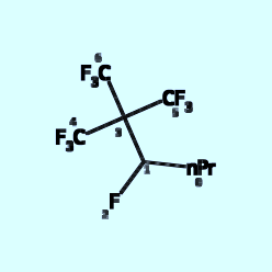 CCCC(F)C(C(F)(F)F)(C(F)(F)F)C(F)(F)F